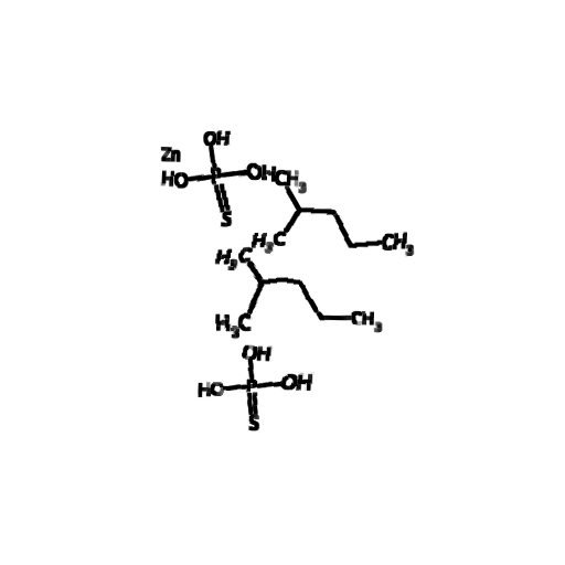 CCCC(C)C.CCCC(C)C.OP(O)(O)=S.OP(O)(O)=S.[Zn]